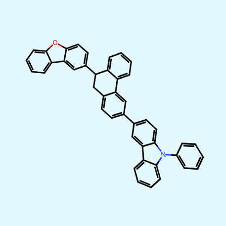 c1ccc(-n2c3ccccc3c3cc(-c4ccc5c(c4)-c4ccccc4C(c4ccc6oc7ccccc7c6c4)C5)ccc32)cc1